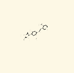 CCn1c(CO)nn(-c2cc(O[C@@H](C)C(F)(F)F)c(/C(F)=C/c3cnccc3C(F)F)cc2F)c1=O